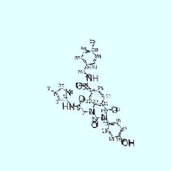 CC1=CC(NC(=O)Cn2c(=O)n(-c3ccc(O)cc3)c(=O)c3ccc(C(=O)NCc4ccc(C)cc4)cc32)=NC1